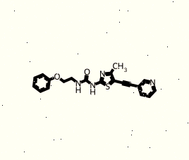 Cc1nc(NC(=O)NCCOc2ccccc2)sc1C#Cc1cccnc1